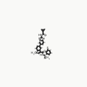 Cn1cc(C(=O)N[Si@@H](C)c2cccc(F)c2)c2cc(-c3ccc4nc(NC(=O)C5CC5)nn4c3)ccc21